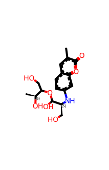 Cc1cc2ccc(N[C@@H](CO)C(O)OC(CO)[C@H](C)O)cc2oc1=O